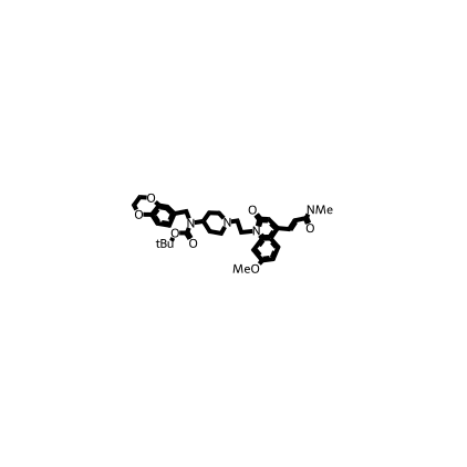 CNC(=O)/C=C/c1cc(=O)n(CCN2CCC(N(Cc3ccc4c(c3)OCCO4)C(=O)OC(C)(C)C)CC2)c2cc(OC)ccc12